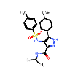 CO[C@H]1CC[C@@H](c2[nH]nc(C(=O)N[C@@H](C)C(C)(C)C)c2NS(=O)(=O)c2ccc(C)cc2)CC1